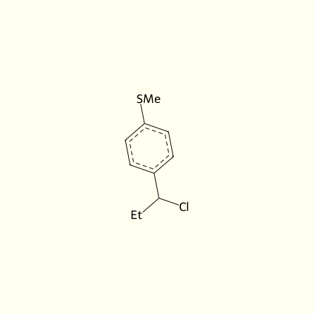 CCC(Cl)c1ccc(SC)cc1